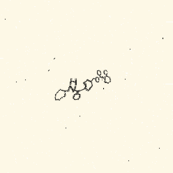 O=C(NC1CCCCC1)c1ccc(COC(=O)n2ccccc2=O)cc1